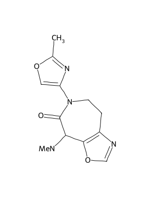 CNC1C(=O)N(c2coc(C)n2)CCc2ncoc21